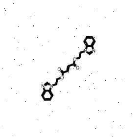 O=C(/C=C/C(=O)OCCn1cnc2ccccc21)OCCn1cnc2ccccc21